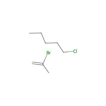 C=C(C)Br.CCCCCCl